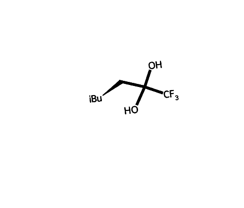 CC[C@H](C)CC(O)(O)C(F)(F)F